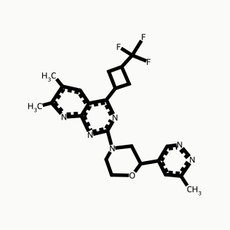 Cc1cc(C2CN(c3nc(C4CC(C(F)(F)F)C4)c4cc(C)c(C)nc4n3)CCO2)cnn1